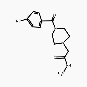 N#Cc1ccc(C(=O)N2CCN(CC(=O)NN)CC2)cc1